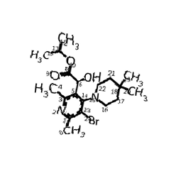 Cc1nc(C)c([C@H](O)C(=O)OC(C)C)c(N2CCC(C)(C)CC2)c1Br